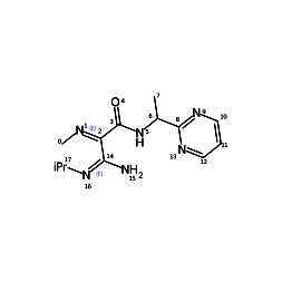 C/N=C(C(=O)NC(C)c1ncccn1)\C(N)=N/C(C)C